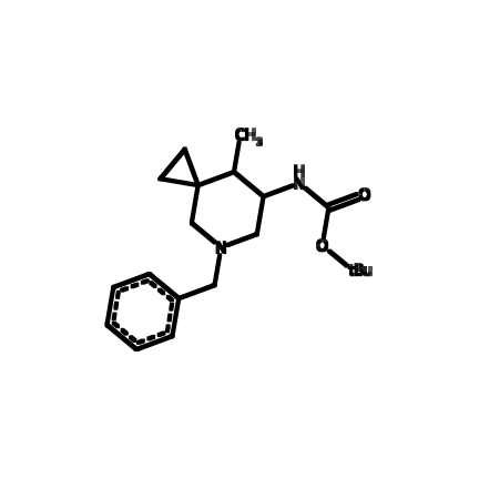 CC1C(NC(=O)OC(C)(C)C)CN(Cc2ccccc2)CC12CC2